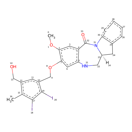 COc1cc2c(cc1OCc1cc(CO)c(C)c(I)c1I)NC[C@@H]1Cc3ccccc3N1C2=O